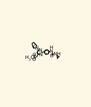 CS(=O)(=O)Cc1cc(N2CC3CCC(C2)O3)nc(-c2ccc(NC(=O)NC3CC3)cc2)n1